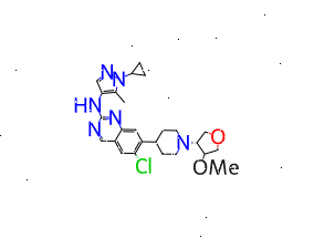 COC1COC[C@H]1N1CCC(c2cc3nc(Nc4cnn(C5CC5)c4C)ncc3cc2Cl)CC1